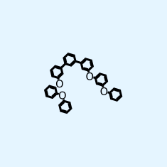 c1ccc(Oc2cccc(Oc3cccc(-c4cccc(-c5cccc(Oc6ccccc6Oc6ccccc6)c5)c4)c3)c2)cc1